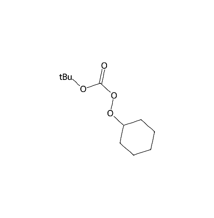 CC(C)(C)OC(=O)OOC1CCCCC1